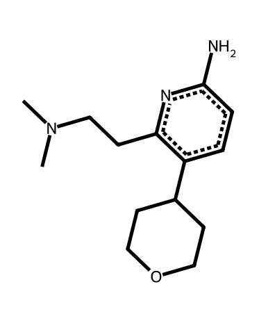 CN(C)CCc1nc(N)ccc1C1CCOCC1